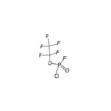 O=P(F)(Cl)OC(F)(F)C(F)(F)F